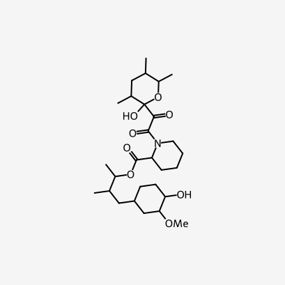 COC1CC(CC(C)C(C)OC(=O)C2CCCCN2C(=O)C(=O)C2(O)OC(C)C(C)CC2C)CCC1O